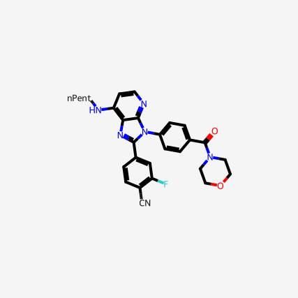 CCCCCNc1ccnc2c1nc(-c1ccc(C#N)c(F)c1)n2-c1ccc(C(=O)N2CCOCC2)cc1